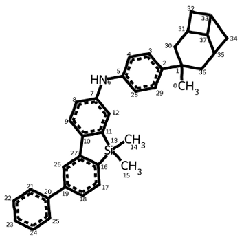 CC1(c2ccc(Nc3ccc4c(c3)[Si](C)(C)c3ccc(-c5ccccc5)cc3-4)cc2)CC2CC3CC(C1)C32